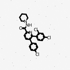 O=C(NN1CCCCC1)c1ccc(-c2ccc(Cl)cc2)c(-c2ccc(Cl)cc2Cl)n1